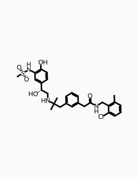 Cc1cccc(Cl)c1CNC(=O)Cc1cccc(CC(C)(C)NC[C@H](O)c2ccc(O)c(NS(C)(=O)=O)c2)c1